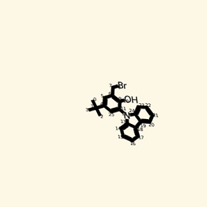 CC(C)(C)c1cc(CBr)c(O)c(-n2c3ccccc3c3ccccc32)c1